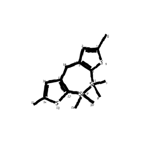 Cc1cc2c(s1)[Si](C)(C)[Si](C)(C)c1sc(C)cc1C2